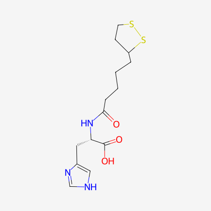 O=C(CCCCC1CCSS1)N[C@@H](Cc1c[nH]cn1)C(=O)O